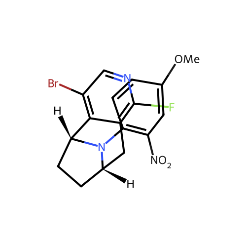 COc1ccc(N2[C@H]3CC[C@@H]2c2c(Br)cnc(F)c2C3)c([N+](=O)[O-])c1